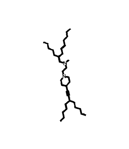 CCCCCCCC(CCCCC)CN(C)CCN1CCC(C#CC(CCCCC)CCCCC)CC1